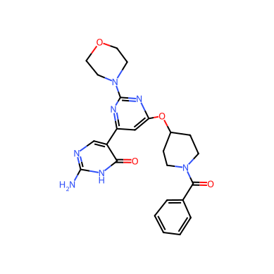 Nc1ncc(-c2cc(OC3CCN(C(=O)c4ccccc4)CC3)nc(N3CCOCC3)n2)c(=O)[nH]1